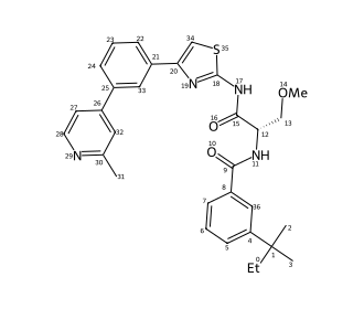 CCC(C)(C)c1cccc(C(=O)N[C@@H](COC)C(=O)Nc2nc(-c3cccc(-c4ccnc(C)c4)c3)cs2)c1